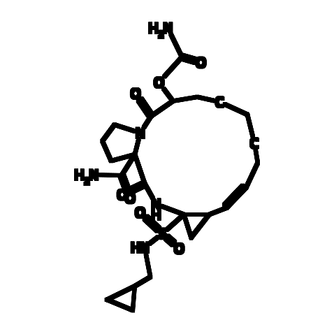 NC(=O)OC1CCCCCC=CC2CC2(S(=O)(=O)NCC2CC2)NC(=O)C2(C(N)=O)CCCN2C1=O